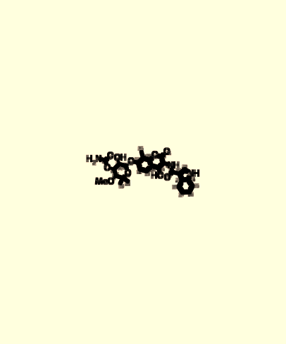 CO[C@@H]1[C@@H](OC(N)=O)[C@@H](O)[C@H](Oc2ccc3c(O)c(NC(=O)c4c[nH]c5ccccc45)c(=O)oc3c2C)OC1(C)C